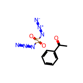 CC(=O)c1ccccc1.[N-]=[N+]=NS(=O)(=O)N=[N+]=[N-]